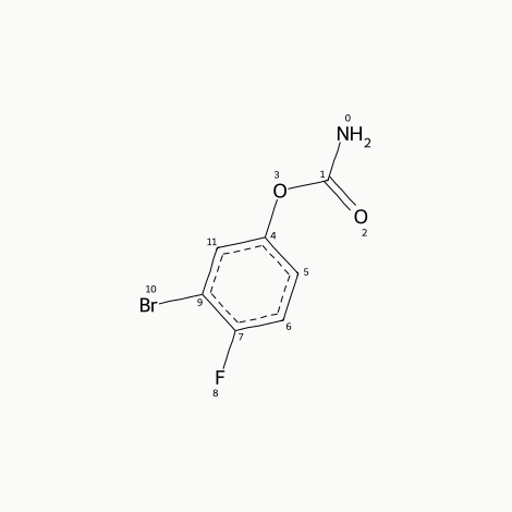 NC(=O)Oc1ccc(F)c(Br)c1